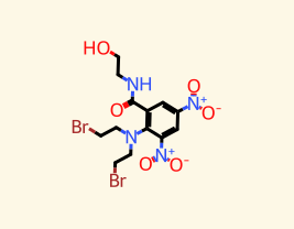 O=C(NCCO)c1cc([N+](=O)[O-])cc([N+](=O)[O-])c1N(CCBr)CCBr